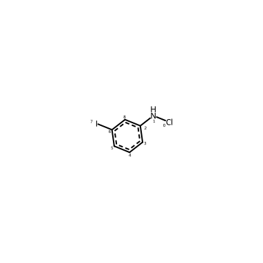 ClNc1cccc(I)c1